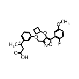 COc1ccc(F)c(-c2onc(COc3cccc([C@H](C)CC(=O)O)c3)c2OC2CCC2)c1